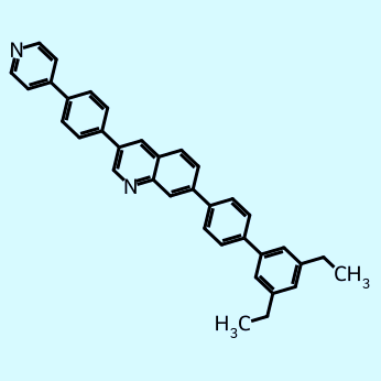 CCc1cc(CC)cc(-c2ccc(-c3ccc4cc(-c5ccc(-c6ccncc6)cc5)cnc4c3)cc2)c1